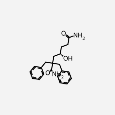 NC(=O)CC[C@@H](O)CC(Cc1ccccc1)(Cc1ccccc1)C(N)=O